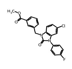 COC(=O)c1cccc(Cn2c(=O)n(-c3ccc(F)cc3)c3cc(Cl)ccc32)c1